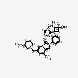 C[C@H]1CCCN(Cc2cc(C(F)(F)F)c3cn(-c4cccc([C@]5(c6nncn6C)C[C@@](C)(O)C5)c4)c(=O)n3c2)C1